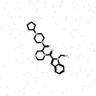 O=C(C1COCCN1C(=O)c1cc2ccccc2n1CC(F)(F)F)N1CCN(C2CCCC2)CC1